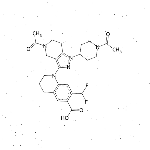 CC(=O)N1CCC(n2nc(N3CCCc4cc(C(=O)O)c(C(F)F)cc43)c3c2CCN(C(C)=O)C3)CC1